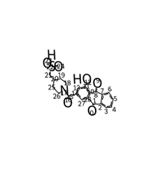 O=C1c2ccccc2C(=O)c2c(O)cc(C(=O)N3CCC(C[SH](=O)=O)CC3)cc21